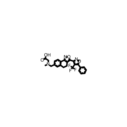 CN(CC(=O)O)Cc1ccc2c(c1)CCc1c-2noc1-c1noc(-c2ccccc2)c1C(F)(F)F